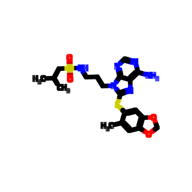 Cc1cc2c(cc1Sc1nc3c(N)ncnc3n1CCCNS(=O)(=O)CC(C)C)OCO2